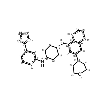 c1cc(-c2nnco2)cc(N[C@H]2CC[C@@H](Oc3cc(N4CCOCC4)cc4nccnc34)CC2)n1